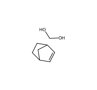 C1=CC2CCC1C2.OCO